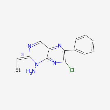 CC/C=C1/N=Cc2nc(-c3ccccc3)c(Cl)nc2N1N